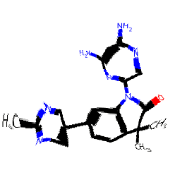 Cc1ncc(-c2ccc3c(c2)N(c2cnc(N)c(N)n2)C(=O)C3(C)C)cn1